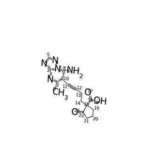 Cc1nc2ncnn2c(N)c1C#CCCC1(C(=O)O)CCCC1=O